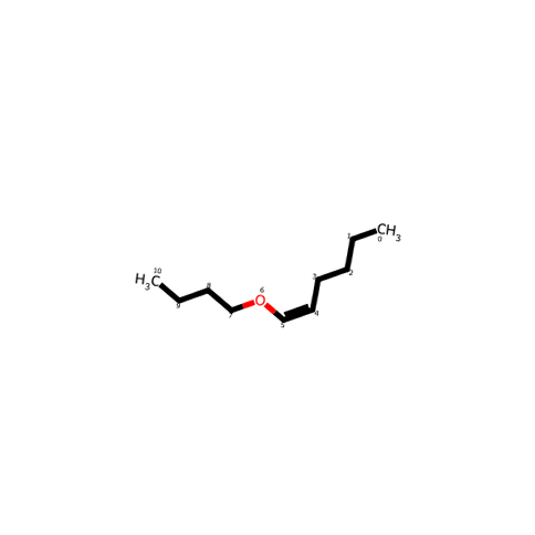 CCCC/C=[C]\OCCCC